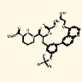 COC(=O)[C@@H]1CCCN(C(=O)[C@H](Cc2cc(O[Si](C(C)C)(C(C)C)C(C)C)cc(-c3ccc4nccc(OCCOC(C)=O)c4c3)c2)NC(=O)OC(C)(C)C)N1